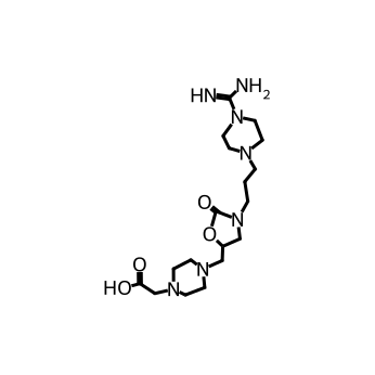 N=C(N)N1CCN(CCCN2CC(CN3CCN(CC(=O)O)CC3)OC2=O)CC1